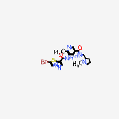 Cc1ncc(C(=O)NCC2CCCN2C)cc1NC(=O)c1cnn2cc(Br)sc12